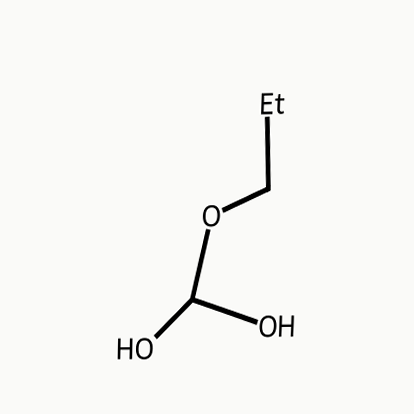 CCCOC(O)O